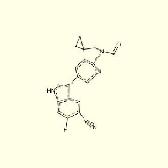 N#Cc1cc2c(-c3cnc4c(c3)C3(CC3)CN4C=O)c[nH]c2cc1F